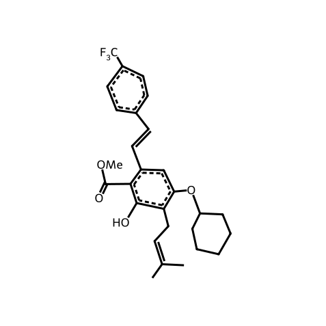 COC(=O)c1c(C=Cc2ccc(C(F)(F)F)cc2)cc(OC2CCCCC2)c(CC=C(C)C)c1O